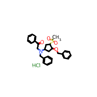 CS(=O)(=O)C1CC(N(CC(=O)c2ccccc2)Cc2ccccc2)CC1OCc1ccccc1.Cl